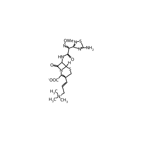 CON=C(C(=O)NC1C(=O)N2C(C(=O)[O-])=C(C=CC[N+](C)(C)C)CS[C@@H]12)c1nsc(N)n1